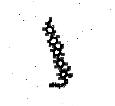 C=CC1CCC(C2CC=C(c3ccc(-c4ccc(-c5ccc(OCCCCCCC)c(F)c5F)cc4)cc3F)CC2)CC1